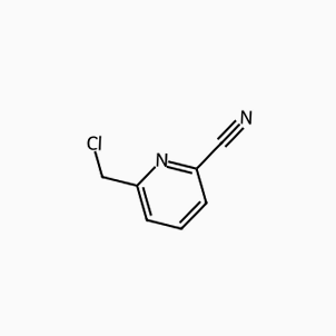 N#Cc1cccc(CCl)n1